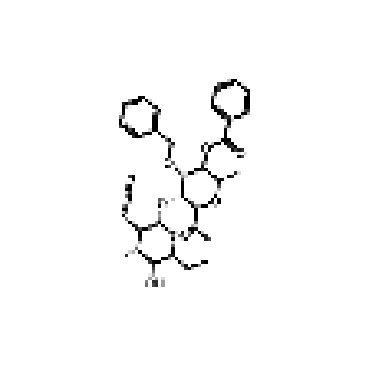 CCC1O[C@@H](O[C@H]2C(C(C)=O)O[C@H](C)C(OC(=O)c3ccccc3)[C@@H]2OCc2ccccc2)C(N=[N+]=[N-])[C@@H](C)[C@@H]1O